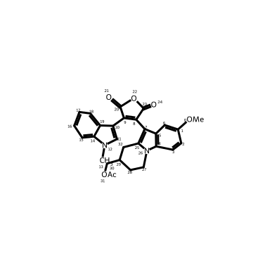 COc1ccc2c(c1)c(C1=C(c3cn(C)c4ccccc34)C(=O)OC1=O)c1n2CCC(COC(C)=O)C1